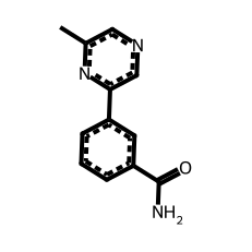 Cc1cncc(-c2cccc(C(N)=O)c2)n1